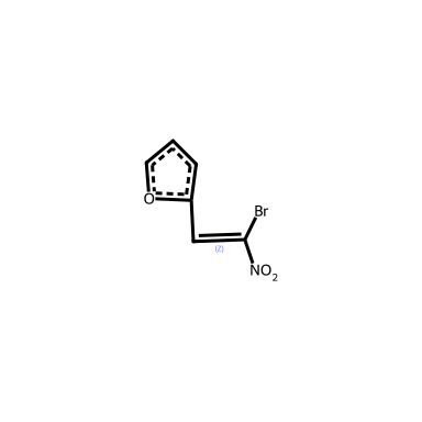 O=[N+]([O-])/C(Br)=C/c1ccco1